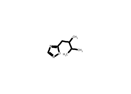 CC(C)C(C)Cc1ncno1